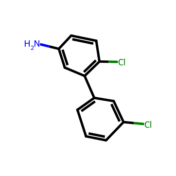 Nc1ccc(Cl)c(-c2cccc(Cl)c2)c1